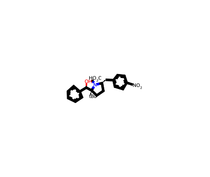 CC(C)(C)[C@@]1([C@H](O)c2ccccc2)CC[C@@H](Cc2ccc([N+](=O)[O-])cc2)N1C(=O)O